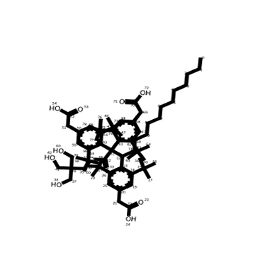 CCCCCCCCCCCCC(c1c(C(C)(C)C)cc(CC(=O)O)cc1C(C)(C)C)C(C(=S)OCC(CO)(CO)CO)(c1c(C(C)(C)C)cc(CC(=O)O)cc1C(C)(C)C)c1c(C(C)(C)C)cc(CC(=O)O)cc1C(C)(C)C